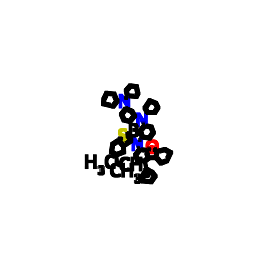 CC(C)(C)c1ccc2sc3c(c2c1)N(c1ccc(-c2ccccc2)c2c1oc1ccccc12)c1cccc2c1B3c1ccc(N(c3ccccc3)c3ccccc3)cc1N2c1ccccc1